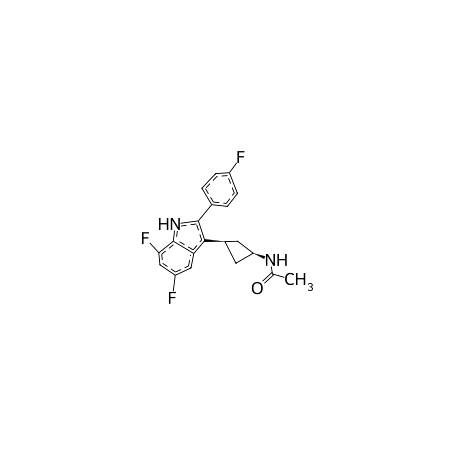 CC(=O)N[C@H]1C[C@@H](c2c(-c3ccc(F)cc3)[nH]c3c(F)cc(F)cc32)C1